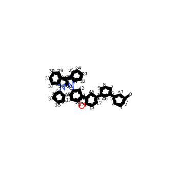 Cc1cccc(-c2cccc(-c3ccc4oc5ccc(-n6c7ccccc7c7c8ccccc8n(-c8ccccc8)c76)cc5c4c3)c2)c1